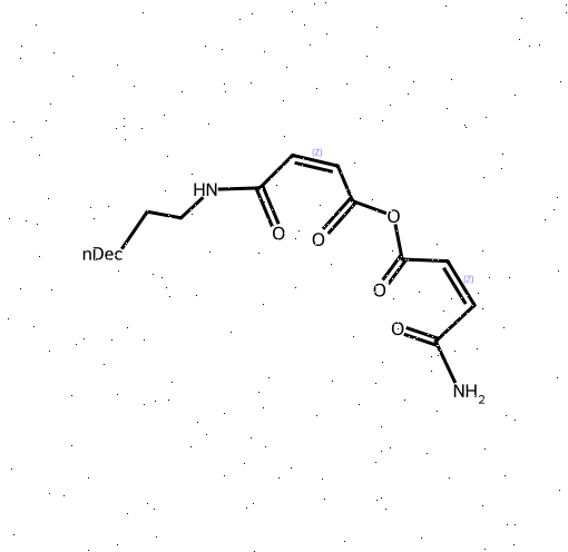 CCCCCCCCCCCCNC(=O)/C=C\C(=O)OC(=O)/C=C\C(N)=O